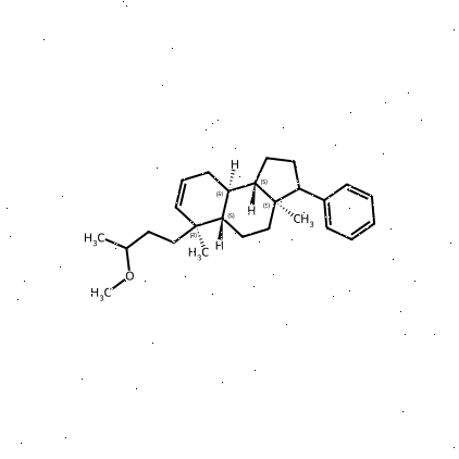 COC(C)CC[C@@]1(C)C=CC[C@@H]2[C@@H]1CC[C@]1(C)C(c3ccccc3)CC[C@@H]21